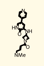 CNC/C=C/C(=O)N1CC(Nc2cc(-c3ccncc3)c[nH]c2=O)C1